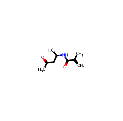 C=C(C)C(=O)NC(C)CC(C)=O